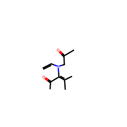 C=CN(CC(C)=O)C(C(C)=O)=C(C)C